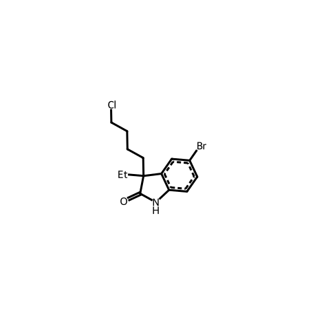 CCC1(CCCCCl)C(=O)Nc2ccc(Br)cc21